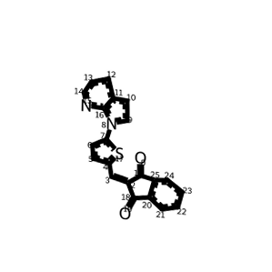 O=C1C(=Cc2ccc(-n3ccc4cccnc43)s2)C(=O)c2ccccc21